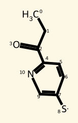 CCC(=O)c1ccc([S])cn1